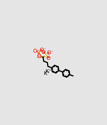 Cc1ccc(-c2ccc(CCCC(O[PH](=O)[O-])S(=O)(=O)[O-])cc2)cc1.[K+].[K+]